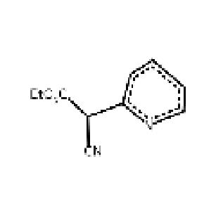 CCOC(=O)C(C#N)c1ccccn1